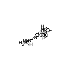 Cc1cc(C)c(S(=O)(=O)N[C@@H](Cc2ccc(OCCCONC(=N)N)cc2)C(=O)OC(=O)C(F)(F)F)c(C)c1